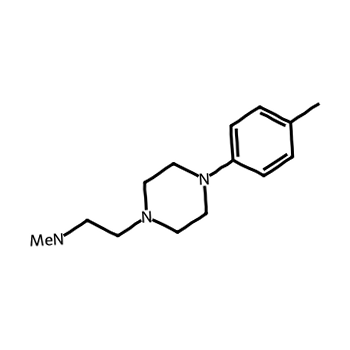 CNCCN1CCN(c2ccc(C)cc2)CC1